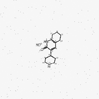 Cl.O=c1[nH]c2c(cc1C1CCNCC1)CCCC2